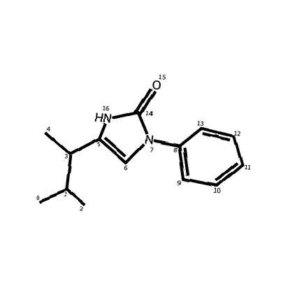 CC(C)C(C)c1cn(-c2ccccc2)c(=O)[nH]1